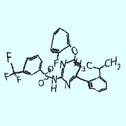 CC(C)c1ccccc1-c1cc(Oc2ccccc2F)nc(NS(=O)(=O)c2cccc(C(F)(F)F)c2)n1